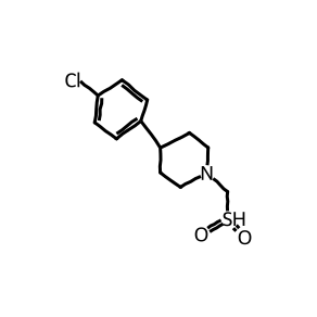 O=[SH](=O)CN1CCC(c2ccc(Cl)cc2)CC1